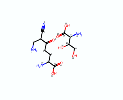 N#CC(CN)C(=O)CCC(N)C(=O)O.N[C@H](C(=O)O)C(O)CO